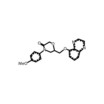 COc1ccc(N2CC(COc3cccc4nccnc34)OCC2=O)cc1